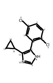 Clc1ccc(Cl)c(-c2[nH]cnc2C2CC2)c1